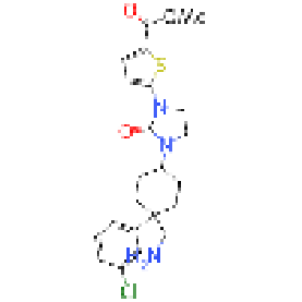 COC(=O)c1ccc(N2CCN(C3CCC(CN)(c4cccc(Cl)c4)CC3)C2=O)s1